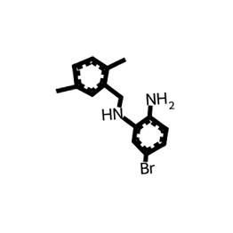 Cc1ccc(C)c(CNc2cc(Br)ccc2N)c1